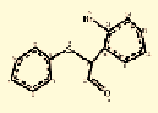 O=CC(Sc1ccccc1)c1ccccc1Br